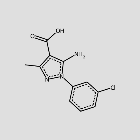 Cc1nn(-c2cccc(Cl)c2)c(N)c1C(=O)O